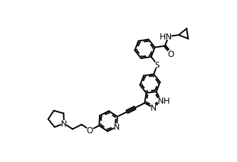 O=C(NC1CC1)c1ccccc1Sc1ccc2c(C#Cc3ccc(OCCN4CCCC4)cn3)n[nH]c2c1